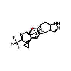 O=S(=O)(c1ccc(C(F)(F)F)nc1)N1C2Cc3[nH]ncc3C1c1cc(C3CC3)ccc12